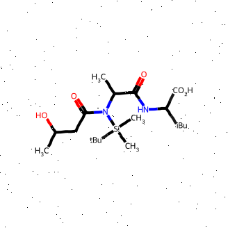 CCC(C)C(NC(=O)C(C)N(C(=O)CC(C)O)[Si](C)(C)C(C)(C)C)C(=O)O